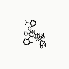 COc1c(Oc2ccccc2C(C)C)nc(NS(=O)(=O)c2cnn(C)c2)nc1-c1ccccc1C